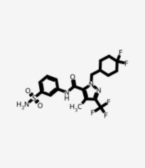 Cc1c(C(F)(F)F)nn(CC2CCC(F)(F)CC2)c1C(=O)Nc1cccc(S(N)(=O)=O)c1